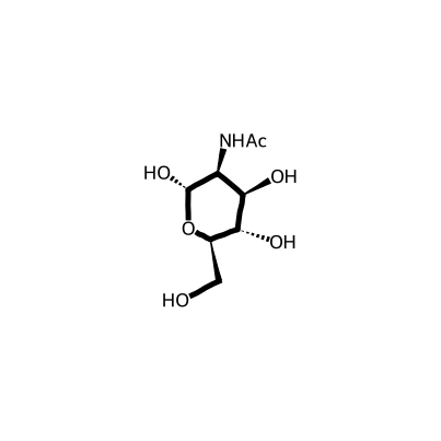 CC(=O)N[C@H]1[C@@H](O)[C@H](O)[C@@H](CO)O[C@@H]1O